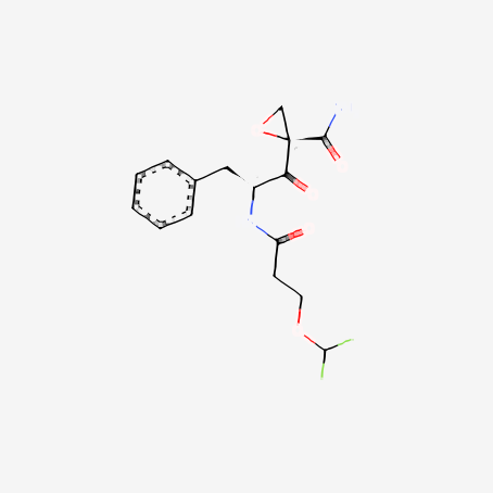 NC(=O)[C@]1(C(=O)[C@H](Cc2ccccc2)NC(=O)[CH]COC(F)F)CO1